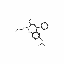 CCCCN1Sc2ccc(OC(C)C)cc2C(c2ccccc2)=CC1CC